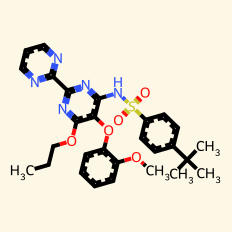 CCCOc1nc(-c2ncccn2)nc(NS(=O)(=O)c2ccc(C(C)(C)C)cc2)c1Oc1ccccc1OC